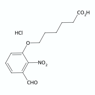 Cl.O=Cc1cccc(OCCCCCC(=O)O)c1[N+](=O)[O-]